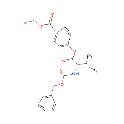 CC(C)[C@H](NC(=O)OCc1ccccc1)C(=O)Oc1ccc(C(=O)OCCl)cc1